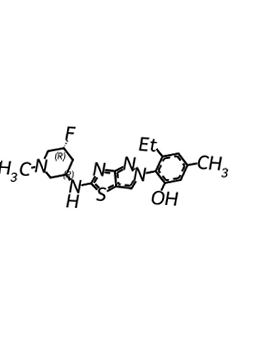 CCc1cc(C)cc(O)c1-n1cc2sc(N[C@@H]3C[C@@H](F)CN(C)C3)nc2n1